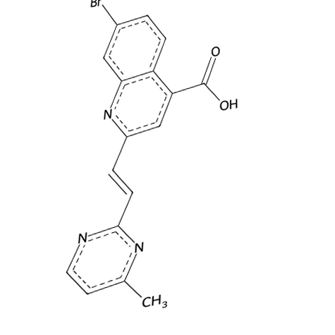 Cc1ccnc(/C=C/c2cc(C(=O)O)c3ccc(Br)cc3n2)n1